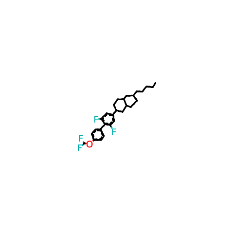 CCCCCC1CCC2CC(c3cc(F)c(-c4ccc(OC(F)F)cc4)c(F)c3)CCC2C1